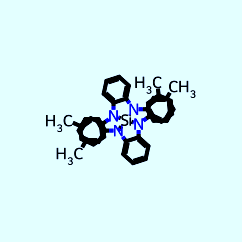 Cc1cccc(N2c3ccccc3N(c3cccc(C)c3)[Si]23N(c2cccc(C)c2)c2ccccc2N3c2cccc(C)c2)c1